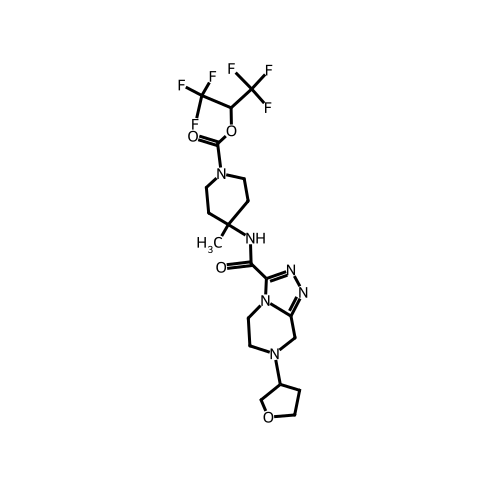 CC1(NC(=O)c2nnc3n2CCN(C2CCOC2)C3)CCN(C(=O)OC(C(F)(F)F)C(F)(F)F)CC1